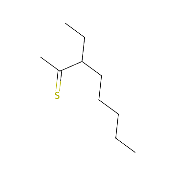 CCCCCC(CC)C(C)=S